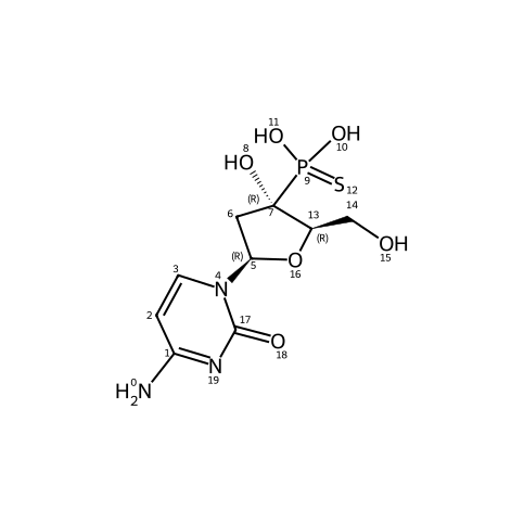 Nc1ccn([C@H]2C[C@@](O)(P(O)(O)=S)[C@@H](CO)O2)c(=O)n1